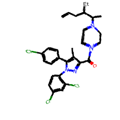 C=CCC(CC)C(C)N1CCN(C(=O)c2nn(-c3ccc(Cl)cc3Cl)c(-c3ccc(Cl)cc3)c2C)CC1